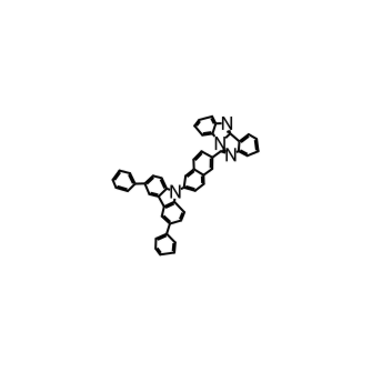 c1ccc(-c2ccc3c(c2)c2cc(-c4ccccc4)ccc2n3-c2ccc3cc(-c4nc5ccccc5c5nc6ccccc6n45)ccc3c2)cc1